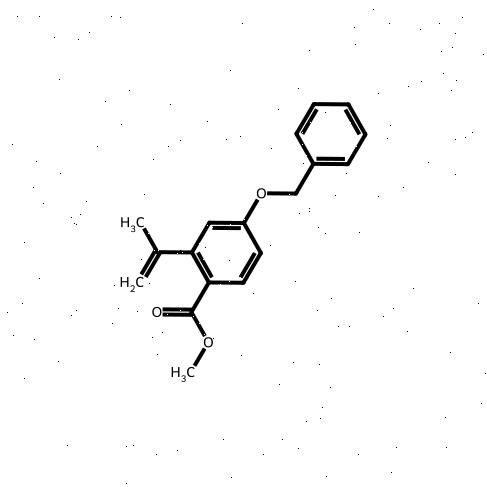 C=C(C)c1cc(OCc2ccccc2)ccc1C(=O)OC